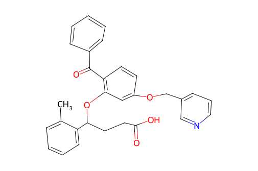 Cc1ccccc1C(CCC(=O)O)Oc1cc(OCc2cccnc2)ccc1C(=O)c1ccccc1